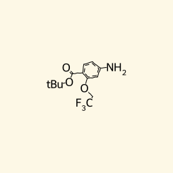 CC(C)(C)OC(=O)c1ccc(N)cc1OCC(F)(F)F